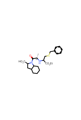 CCOC(=O)C(CSCc1ccccc1)N[C@@H](C)C(=O)N1C(C(=O)O)CC2CCCCC21